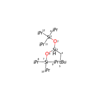 CC(C)[Si](O[SiH](CC(C)(C)C)O[Si](C(C)C)(C(C)C)C(C)C)(C(C)C)C(C)C